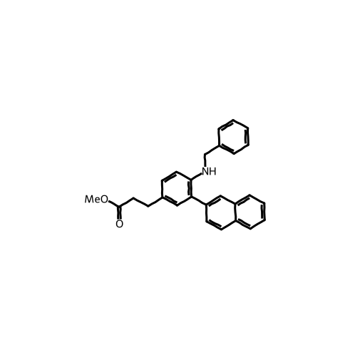 COC(=O)CCc1ccc(NCc2ccccc2)c(-c2ccc3ccccc3c2)c1